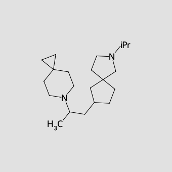 CC(C)N1CCC2(CCC(CC(C)N3CCC4(CC3)CC4)C2)C1